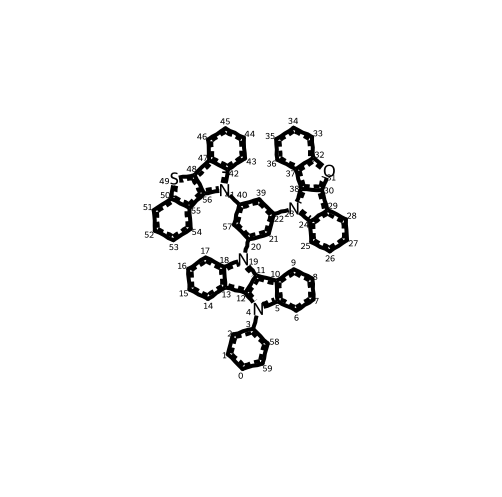 c1ccc(-n2c3ccccc3c3c2c2ccccc2n3-c2cc(-n3c4ccccc4c4oc5ccccc5c43)cc(-n3c4ccccc4c4sc5ccccc5c43)c2)cc1